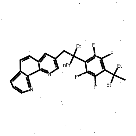 CCCC(CC)(Cc1cnc2c(ccc3cccnc32)c1)c1c(F)c(F)c(C(C)(CC)CC)c(F)c1F